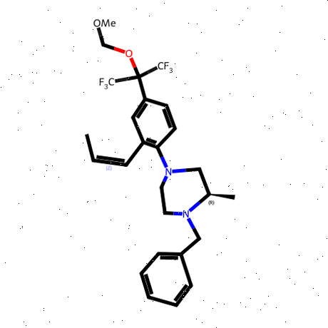 C/C=C\c1cc(C(OCOC)(C(F)(F)F)C(F)(F)F)ccc1N1CCN(Cc2ccccc2)[C@H](C)C1